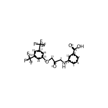 O=C(CNc1cccc(C(=O)O)c1)COc1cc(C(F)(F)F)cc(C(F)(F)F)c1